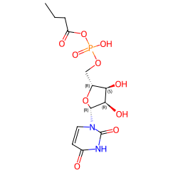 CCCC(=O)OP(=O)(O)OC[C@H]1O[C@@H](n2ccc(=O)[nH]c2=O)[C@H](O)[C@@H]1O